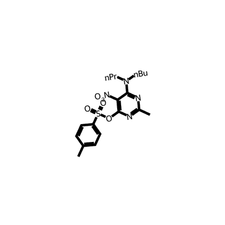 CCCCN(CCC)c1nc(C)nc(OS(=O)(=O)c2ccc(C)cc2)c1[N+](=O)[O-]